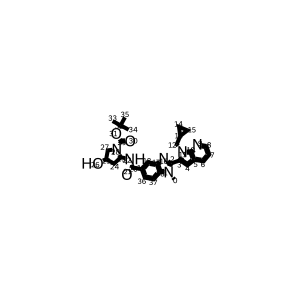 Cn1c(-c2cc3cccnc3n2CC2CC2)nc2cc(C(=O)NC3CC(O)CN3C(=O)OC(C)(C)C)ccc21